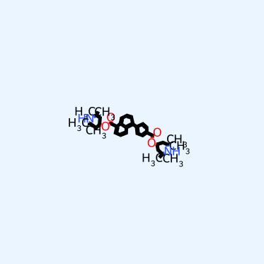 CC1(C)CC(OC(=O)c2ccc(-c3cccc4c(C(=O)OC5CC(C)(C)NC(C)(C)C5)cccc34)cc2)CC(C)(C)N1